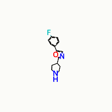 Fc1ccc(-c2cnc(C3CCNCC3)o2)cc1